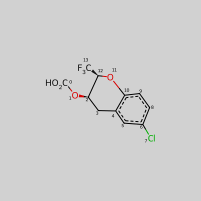 O=C(O)O[C@@H]1Cc2cc(Cl)ccc2O[C@@H]1C(F)(F)F